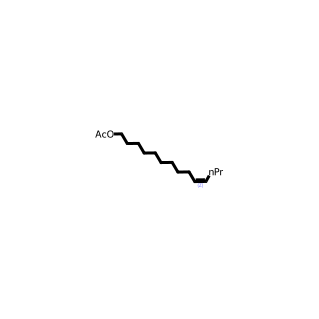 CCC/C=C\CCCCCCCCCOC(C)=O